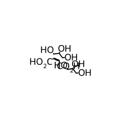 O=C(O)/C=C\C(=O)O.OCC(O)CO.OCC(O)CO